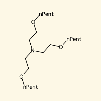 CCCCCOCCN(CCOCCCCC)CCOCCCCC